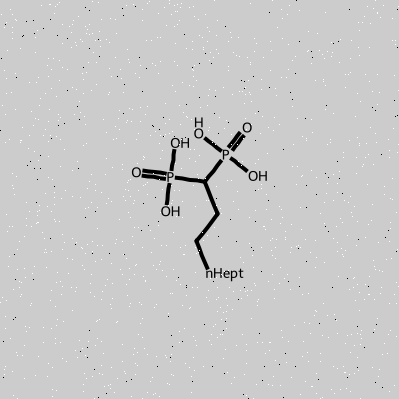 CCCCCCCCCC(P(=O)(O)O)P(=O)(O)O